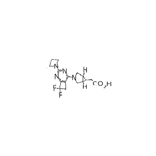 C[C@@H]1CCN1c1nc(N2C[C@@H]3[C@@H](CC(=O)O)[C@@H]3C2)c2c(n1)C(F)(F)C2